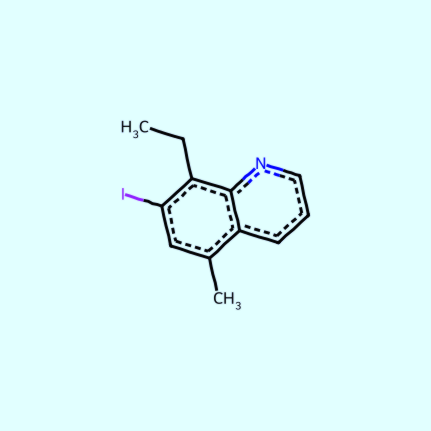 CCc1c(I)cc(C)c2cccnc12